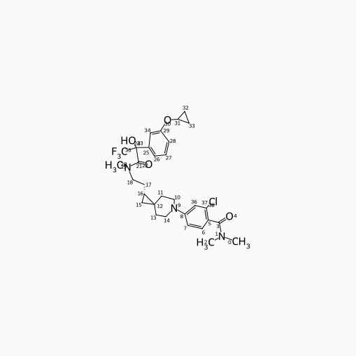 CN(C)C(=O)c1ccc(N2CCC3(CC2)C[C@@H]3CCN(C)C(=O)C(O)(c2cccc(OC3CC3)c2)C(F)(F)F)cc1Cl